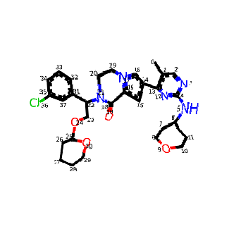 Cc1cnc(NC2CCOCC2)nc1-c1cc2n(c1)CCN(C(COC1CCCCO1)c1cccc(Cl)c1)C2=O